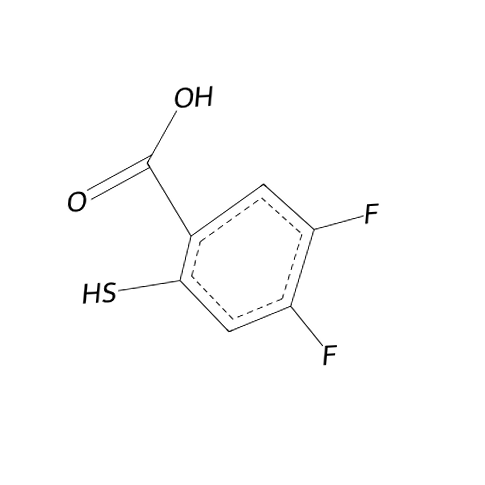 O=C(O)c1cc(F)c(F)cc1S